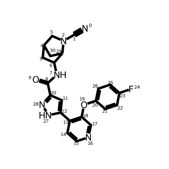 N#CN1CC2CC(NC(=O)c3cc(-c4ccncc4Oc4ccc(F)cc4)[nH]n3)C1C2